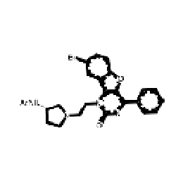 CC(=O)N[C@H]1CCN(CCn2c(=O)nc(-c3ccccc3)c3oc4ccc(Br)cc4c32)C1